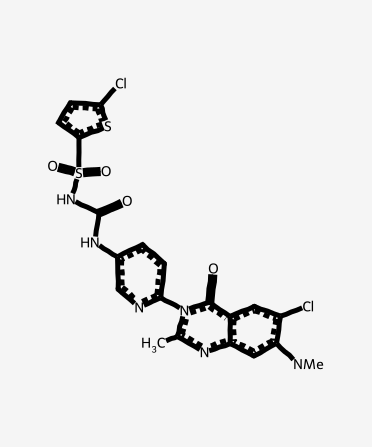 CNc1cc2nc(C)n(-c3ccc(NC(=O)NS(=O)(=O)c4ccc(Cl)s4)cn3)c(=O)c2cc1Cl